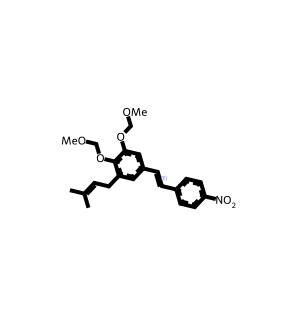 COCOc1cc(/C=C/c2ccc([N+](=O)[O-])cc2)cc(CC=C(C)C)c1OCOC